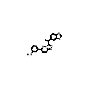 CC(c1ccc2ncsc2c1)c1nnc2ccc(-c3cccc(N)c3)nn12